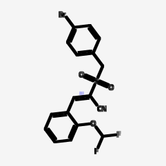 N#C/C(=C\c1ccccc1OC(F)F)S(=O)(=O)Cc1ccc(Br)cc1